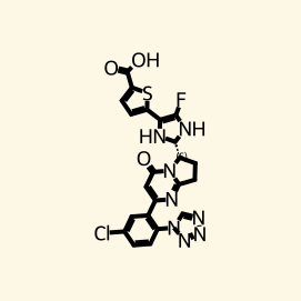 O=C(O)c1ccc(C2=C(F)NC([C@@H]3CCc4nc(-c5cc(Cl)ccc5-n5cnnn5)cc(=O)n43)N2)s1